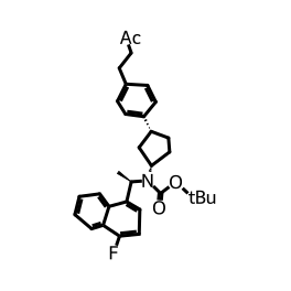 CC(=O)CCc1ccc([C@@H]2CC[C@H](N(C(=O)OC(C)(C)C)[C@H](C)c3ccc(F)c4ccccc34)C2)cc1